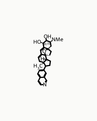 CN[C@H]1C[C@@]23CC[C@@]4(O2)C(=CCC2(C)C(c5ccc6ccncc6c5)CC[C@H]24)C=C3[C@@H](O)C1O